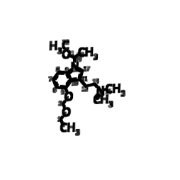 CCOCOc1cccc2c1c(CCN(C)C)cn2C(C)OC